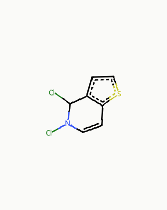 ClC1c2ccsc2C=CN1Cl